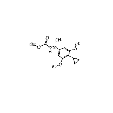 CCOc1cc([C@@H](C)NC(=O)OC(C)(C)C)cc(OCC)c1C1CC1